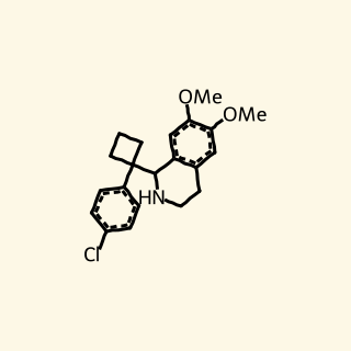 COc1cc2c(cc1OC)C(C1(c3ccc(Cl)cc3)CCC1)NCC2